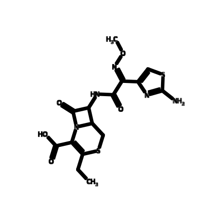 CCC1=C(C(=O)O)N2C(=O)C(NC(=O)C(=NOC)c3csc(N)n3)C2CS1